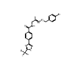 CC(CNC(=O)c1ccc(-c2noc(C(F)(F)F)n2)cc1)=NOCc1ccc(Br)cc1